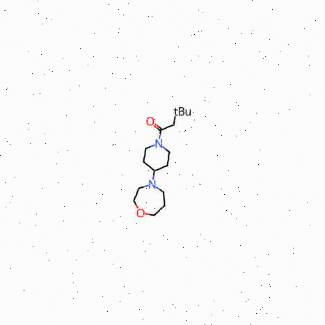 CC(C)(C)CC(=O)N1CCC(N2CCCOCC2)CC1